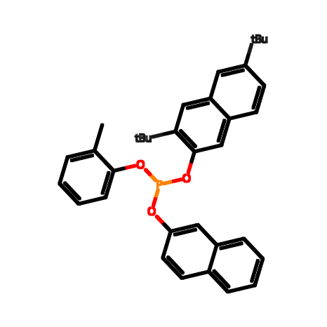 Cc1ccccc1OP(Oc1ccc2ccccc2c1)Oc1cc2ccc(C(C)(C)C)cc2cc1C(C)(C)C